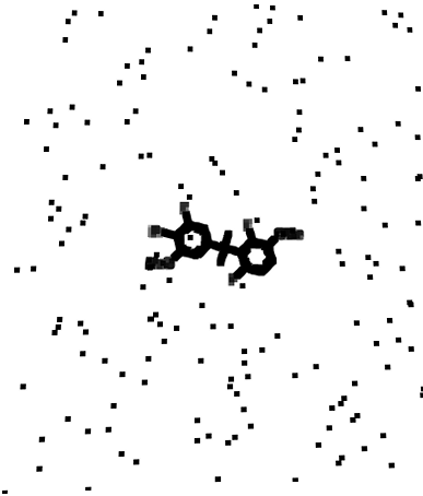 COc1ccc(F)c(C(C)(C)c2cc(F)c(C(C)C)c(OC)c2)c1F